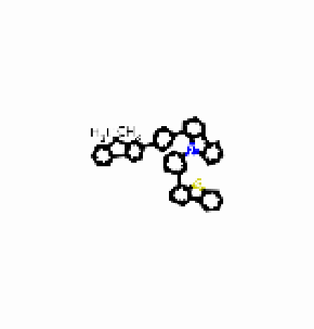 CC1(C)c2ccccc2-c2ccc(-c3ccc(-c4cccc5c6ccccc6n(-c6cccc(-c7cccc8c7sc7ccccc78)c6)c45)cc3)cc21